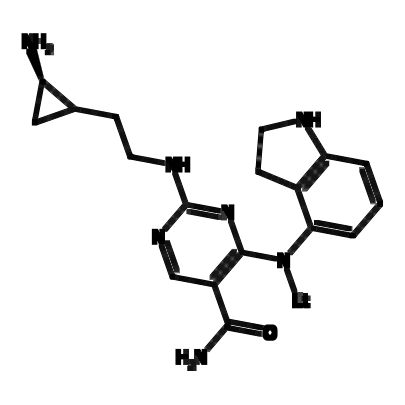 CCN(c1cccc2c1CCN2)c1nc(NCCC2C[C@H]2N)ncc1C(N)=O